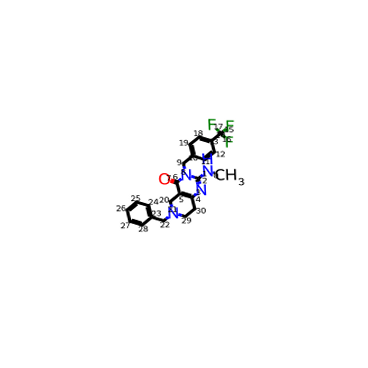 CNc1nc2c(c(=O)n1Cc1ccc(C(F)(F)F)cc1)CN(Cc1ccccc1)CC2